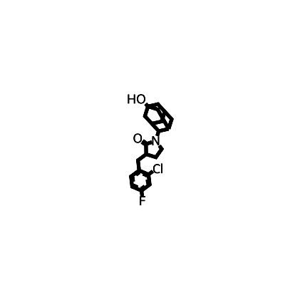 O=C1C(Cc2ccc(F)cc2Cl)CCN1C1C2CC3CC1CC(O)(C3)C2